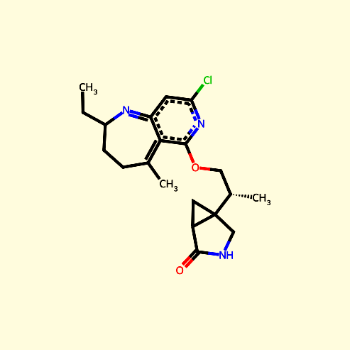 CCC1CCC(C)=c2c(OC[C@H](C)C34CNC(=O)C3C4)nc(Cl)cc2=N1